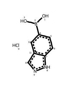 Cl.OB(O)c1ccc2[nH]ncc2c1